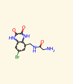 NCC(=O)NCc1cc(Br)cc2[nH]c(=O)c(=O)[nH]c12